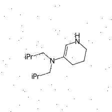 CC(C)CN(CC(C)C)C1=CNCCC1